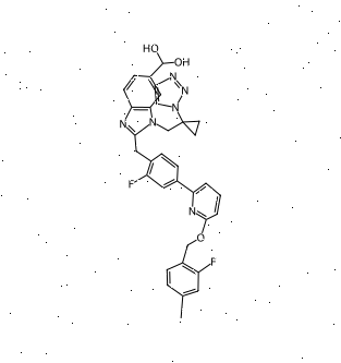 Cc1ccc(COc2cccc(-c3ccc(Cc4nc5ccc(C(O)O)cc5n4CC4(n5ccnn5)CC4)c(F)c3)n2)c(F)c1